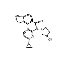 N#CN1CC[C@@H](N(C(=O)c2ccc3c(c2)CCN3)c2nccc(C3CC3)n2)C1